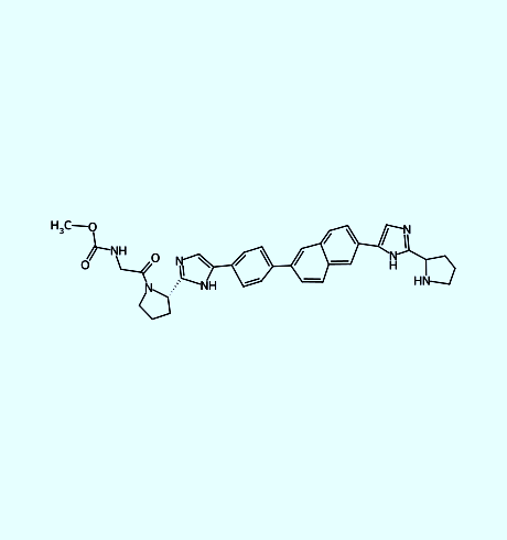 COC(=O)NCC(=O)N1CCC[C@H]1c1ncc(-c2ccc(-c3ccc4cc(-c5cnc(C6CCCN6)[nH]5)ccc4c3)cc2)[nH]1